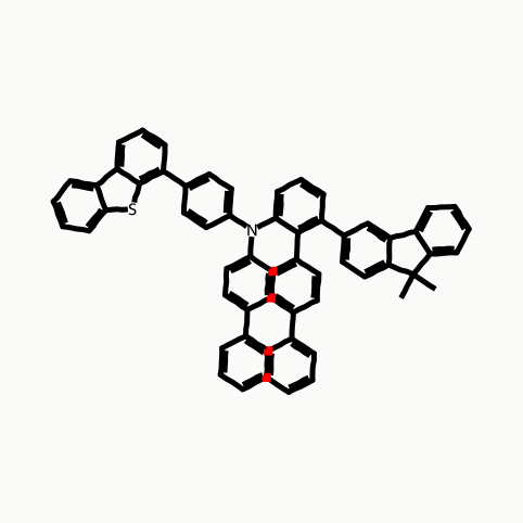 CC1(C)c2ccccc2-c2cc(-c3cccc(N(c4ccc(-c5ccccc5)cc4)c4ccc(-c5cccc6c5sc5ccccc56)cc4)c3-c3ccc(-c4ccccc4)cc3)ccc21